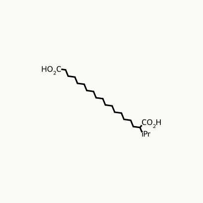 CC(C)C(CCCCCCCCCCCCCCCCC(=O)O)C(=O)O